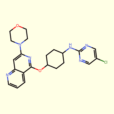 Clc1cnc(NC2CCC(Oc3nc(N4CCOCC4)cc4ncccc34)CC2)nc1